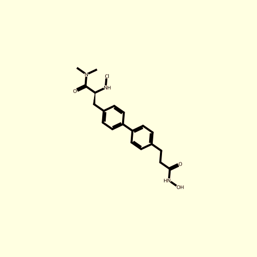 CN(C)C(=O)[C@H](Cc1ccc(-c2ccc(CCC(=O)NO)cc2)cc1)NCl